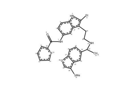 CCc1[nH]c2ccc(NC(=O)c3ccccn3)cc2c1CCNC(C)c1ccc2occ(SC)c2c1